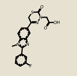 Cn1c(-c2cccc(F)c2)nc2cc(C3=NN(CC(=O)O)C(=O)SC3)ccc21